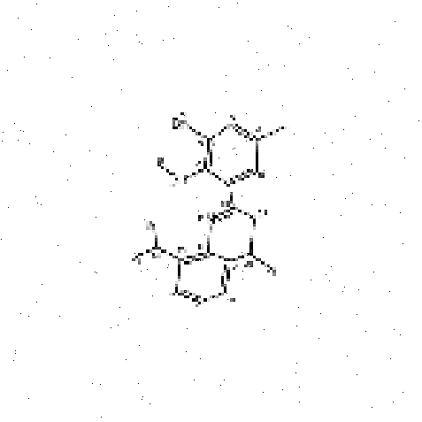 COc1c(Br)cc(C)cc1C1=Nc2c(C(C)C)cccc2C(C)C1